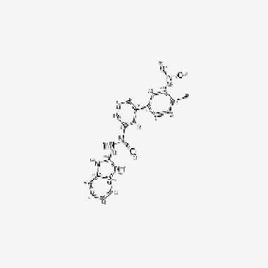 Cc1ccc(-c2cccc(C(=O)Nc3nc4ccccc4[nH]3)c2)cc1[N+](=O)[O-]